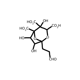 O=CCCC12OC(C(=O)O)C(O)(C(=O)O)C(C(=O)O)(O1)C(O)C2O